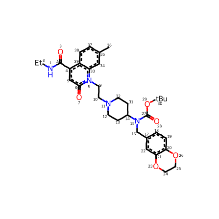 CCNC(=O)c1cc(=O)n(CCN2CCC(N(Cc3ccc4c(c3)OCCO4)C(=O)OC(C)(C)C)CC2)c2cc(C)ccc12